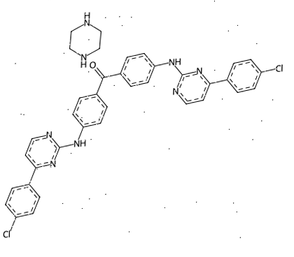 C1CNCCN1.O=C(c1ccc(Nc2nccc(-c3ccc(Cl)cc3)n2)cc1)c1ccc(Nc2nccc(-c3ccc(Cl)cc3)n2)cc1